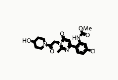 COC(=O)Nc1cc(Cl)ccc1-c1cc(=O)n(CC(=O)N2CCC(O)CC2)c(C)n1